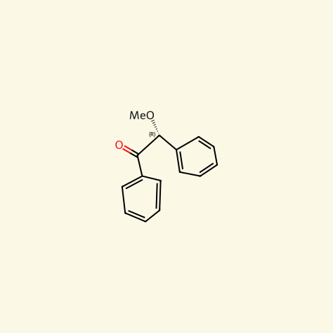 CO[C@@H](C(=O)c1ccccc1)c1ccccc1